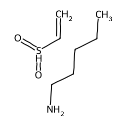 C=C[SH](=O)=O.CCCCCN